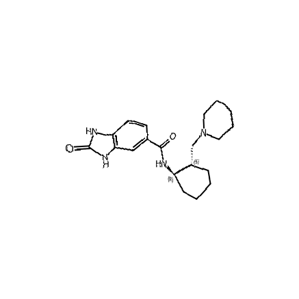 O=C(N[C@@H]1CCCC[C@H]1CN1CCCCC1)c1ccc2[nH]c(=O)[nH]c2c1